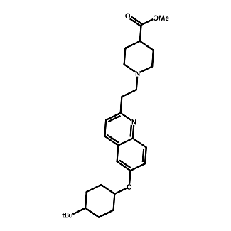 COC(=O)C1CCN(CCc2ccc3cc(OC4CCC(C(C)(C)C)CC4)ccc3n2)CC1